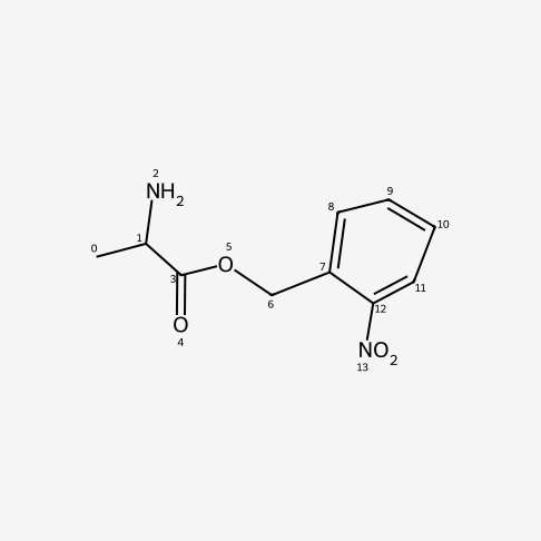 CC(N)C(=O)OCc1ccccc1[N+](=O)[O-]